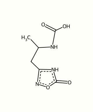 CC(Cc1noc(=O)[nH]1)NC(=O)O